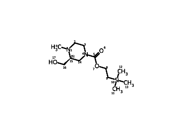 CN1CCN(C(=O)OCC[Si](C)(C)C)C[C@H]1CO